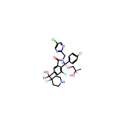 CCC(O)(c1cc(F)c2c(c1)C(=O)N(Cc1ncc(Cl)cn1)[C@@]2(OC[C@@H](C)O)c1ccc(Cl)cc1)C1(F)CCNCC1